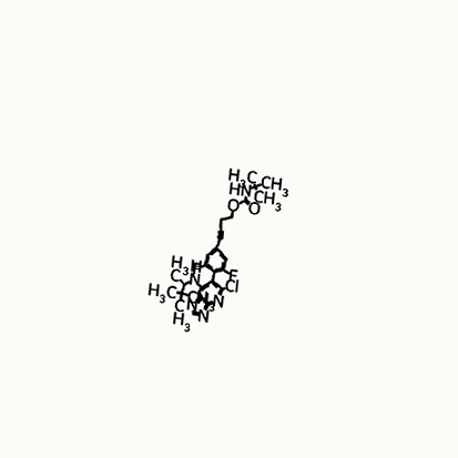 C[C@@H](Nc1c(-c2c(F)cc(C#CCCOC(=O)NC(C)(C)C)cc2F)c(Cl)nc2ncnn12)C(C)(C)C